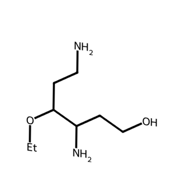 CCOC(CCN)C(N)CCO